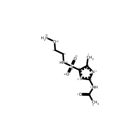 CC(=O)Nc1nc(C)c(S(=O)(=O)NCCON)s1